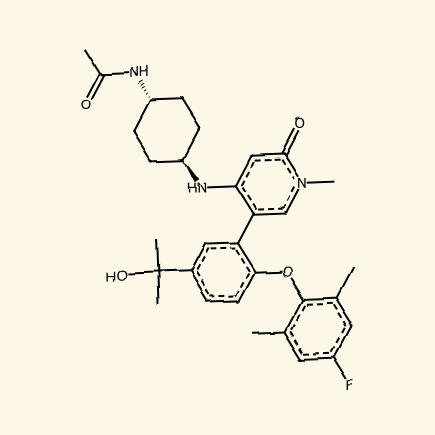 CC(=O)N[C@H]1CC[C@H](Nc2cc(=O)n(C)cc2-c2cc(C(C)(C)O)ccc2Oc2c(C)cc(F)cc2C)CC1